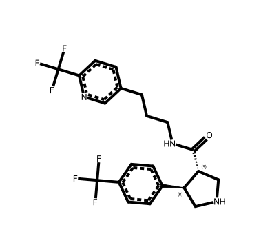 O=C(NCCCc1ccc(C(F)(F)F)nc1)[C@@H]1CNC[C@H]1c1ccc(C(F)(F)F)cc1